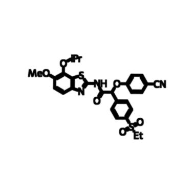 CCS(=O)(=O)c1ccc(C(Oc2ccc(C#N)cc2)C(=O)Nc2nc3ccc(OC)c(OC(C)C)c3s2)cc1